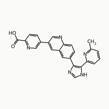 Cc1cccc(-c2[nH]cnc2-c2ccc3ncc(-c4ccc(C(=O)O)nc4)cc3c2)n1